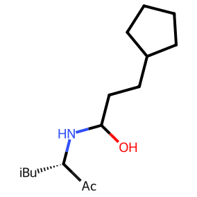 CCC(C)[C@H](NC(O)CCC1CCCC1)C(C)=O